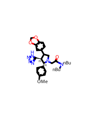 CCCCN(CCCC)C(=O)CN1CC(c2ccc3c(c2)OCO3)[C@H](c2nnn[nH]2)[C@H]1c1ccc(OC)cc1